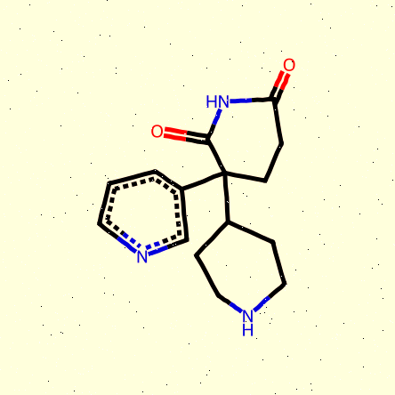 O=C1CCC(c2cccnc2)(C2CCNCC2)C(=O)N1